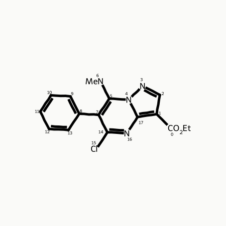 CCOC(=O)c1cnn2c(NC)c(-c3ccccc3)c(Cl)nc12